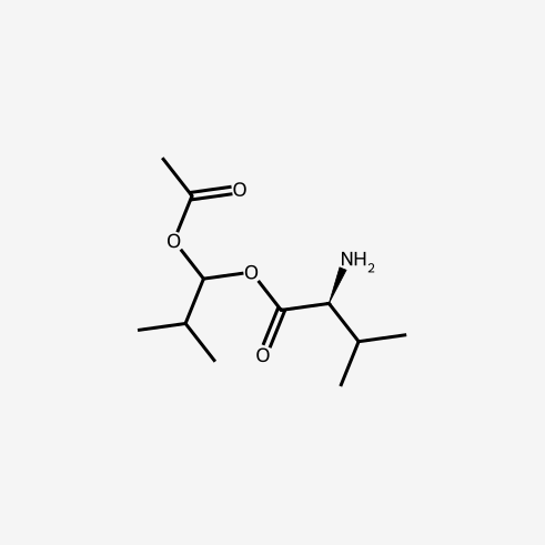 CC(=O)OC(OC(=O)[C@@H](N)C(C)C)C(C)C